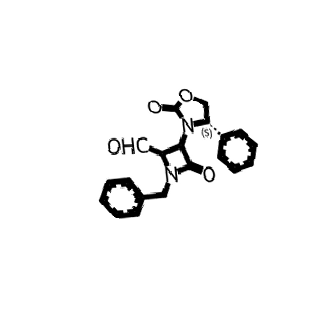 O=CC1C(N2C(=O)OC[C@@H]2c2ccccc2)C(=O)N1Cc1ccccc1